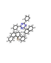 c1ccc(-c2nc(-c3ccccc3)nc(-c3cc(-c4cccc5sc6c(ccc7ccc8ccccc8c76)c45)cc4ccccc34)n2)cc1